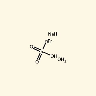 CCCS(=O)(=O)O.O.[NaH]